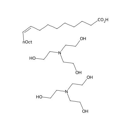 CCCCCCCC/C=C\CCCCCCCC(=O)O.OCCN(CCO)CCO.OCCN(CCO)CCO